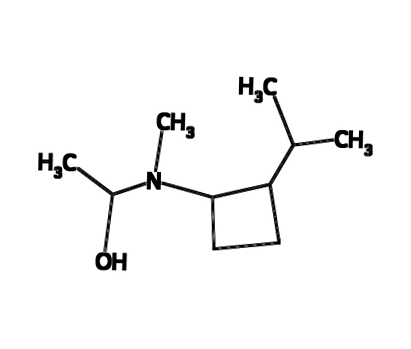 CC(C)C1CCC1N(C)C(C)O